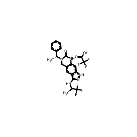 CC(Nc1n[nH]c2cc3c(cc12)CN([C@H](C)c1ccccc1)C(=O)N3)C(F)(F)F.O=C(O)C(F)(F)F